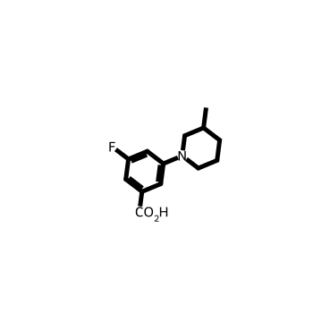 CC1CCCN(c2cc(F)cc(C(=O)O)c2)C1